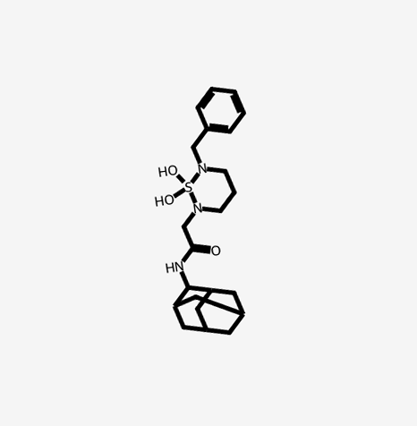 O=C(CN1CCCN(Cc2ccccc2)S1(O)O)NC1C2CC3CC(C2)CC1C3